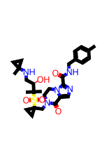 Cc1ccc(CNC(=O)c2ncc3n2CCN(CC2(S(=O)(=O)C(C)(C)[C@@H](O)CNC4(C)CC4)CC2)C3=O)cc1